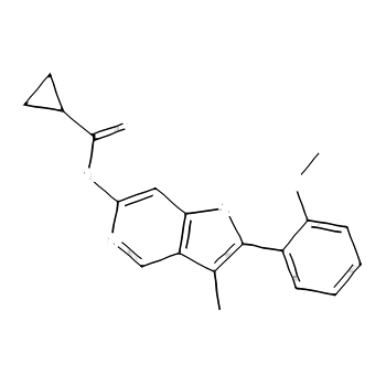 COc1ccccc1-c1[nH]c2cc(NC(=O)C3CC3)ncc2c1C